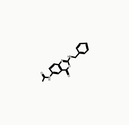 CC(=O)Nc1ccc2nc(NCc3ccccc3)oc(=O)c2c1